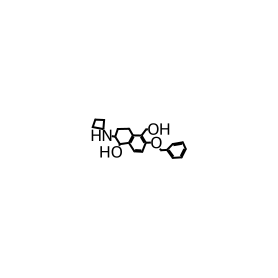 OCc1c(OCc2ccccc2)ccc2c1CCC(NC1CCC1)C2O